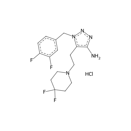 Cl.Nc1nnn(Cc2ccc(F)c(F)c2)c1CCN1CCC(F)(F)CC1